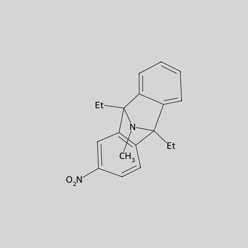 CCC12c3ccccc3C(CC)(c3cc([N+](=O)[O-])ccc31)N2C